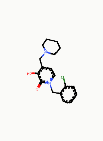 O=c1c(O)c(CN2CCCCC2)ccn1Cc1ccccc1Cl